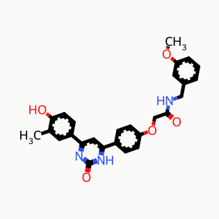 COc1cccc(CNC(=O)COc2ccc(-c3cc(-c4ccc(O)c(C)c4)nc(=O)[nH]3)cc2)c1